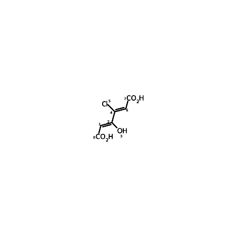 O=C(O)/C=C(O)/C(Cl)=C/C(=O)O